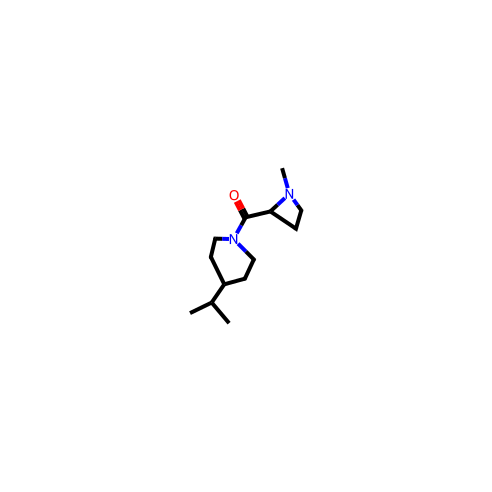 CC(C)C1CCN(C(=O)C2CCN2C)CC1